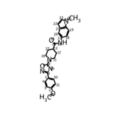 COc1ccc(-c2noc(N3CCC(C(=O)Nc4ccc5c(ccn5C)c4)CC3)n2)cc1